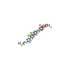 CCCc1ccc(-c2ccc(-c3ccc(CCc4ccc(OCC)c(F)c4)cc3)c(F)c2F)cc1